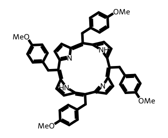 COc1ccc(Cc2c3nc(c(Cc4ccc(OC)cc4)c4ccc([nH]4)c(Cc4ccc(OC)cc4)c4nc(c(Cc5ccc(OC)cc5)c5ccc2[nH]5)C=C4)C=C3)cc1